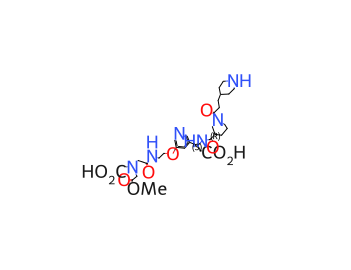 COC(=O)CN(CC(=O)O)CC(=O)NCCOc1cncc([C@H](CC(=O)O)NC(=O)[C@@H]2CCCN(C(=O)CCC3CCNCC3)C2)c1